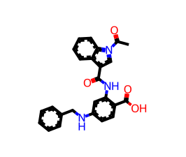 CC(=O)n1cc(C(=O)Nc2cc(NCc3ccccc3)ccc2C(=O)O)c2ccccc21